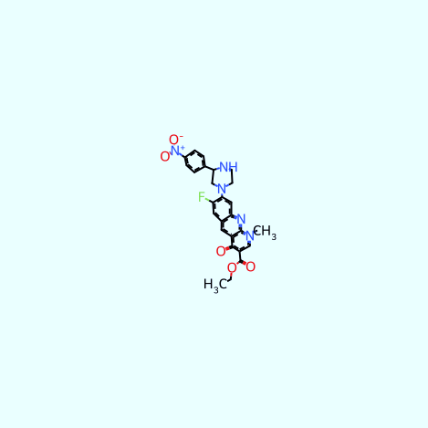 CCOC(=O)c1cn(C)c2nc3cc(N4CCNC(c5ccc([N+](=O)[O-])cc5)C4)c(F)cc3cc2c1=O